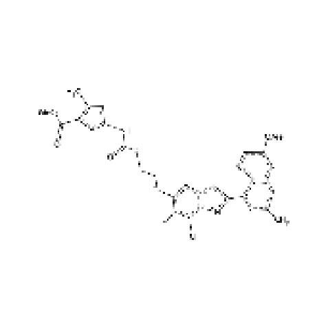 COC(=O)c1cc(NC(=O)OCCOc2cc3sc(-c4cc(C)cc5nc(OC)cnc45)nc3c(Cl)c2F)cn1C